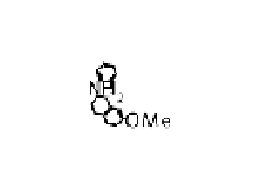 COc1ccc2c(c1)[C@@H](Cc1ccccc1)[C@@H](N)CC2